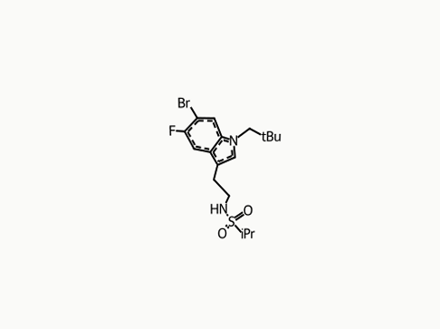 CC(C)S(=O)(=O)NCCc1cn(CC(C)(C)C)c2cc(Br)c(F)cc12